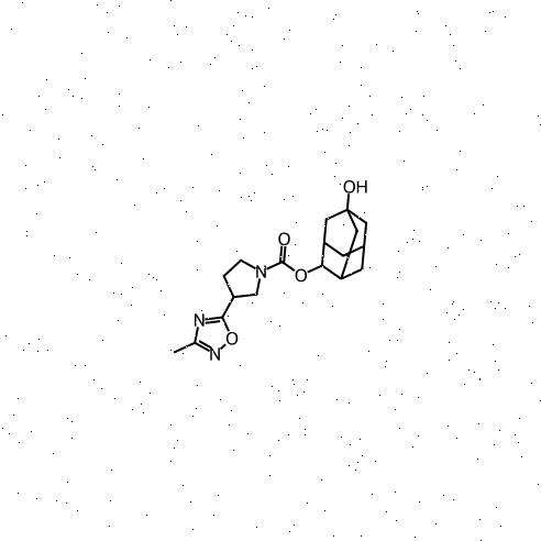 Cc1noc(C2CCN(C(=O)OC3C4CC5CC3CC(O)(C5)C4)C2)n1